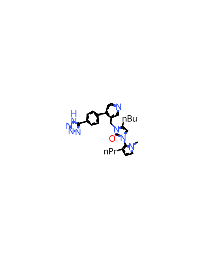 CCCCc1cn(-c2c(CCC)ccn2C)c(=O)n1Cc1cnccc1-c1ccc(-c2nnn[nH]2)cc1